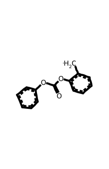 [CH2]c1ccccc1OC(=O)Oc1ccccc1